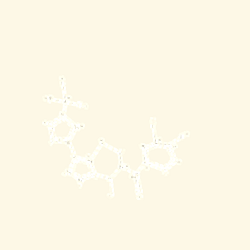 CC1c2nnc(-c3csc(C(F)(F)F)n3)n2CCN1C(=O)c1ccc(F)c(F)c1